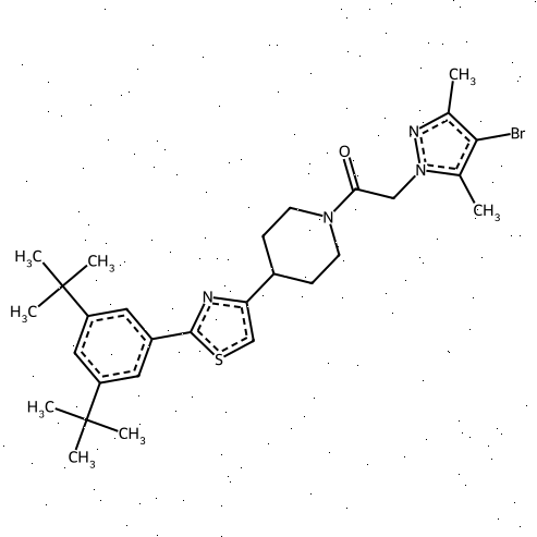 Cc1nn(CC(=O)N2CCC(c3csc(-c4cc(C(C)(C)C)cc(C(C)(C)C)c4)n3)CC2)c(C)c1Br